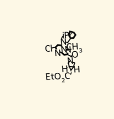 CCOC(=O)C[C@@H]1[C@H]2CN(C(=O)c3cc4nc(Cl)cc(N(CC(C)C)[C@@H](C)c5ccccc5)n4n3)C[C@@H]12